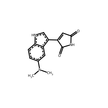 CN(C)c1ccc2[nH]cc(C3=CC(=O)NC3=O)c2c1